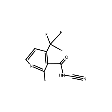 Cc1nccc(C(F)(F)F)c1C(=O)NC#N